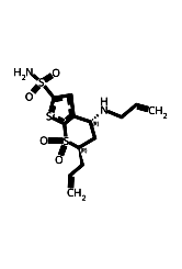 C=CCN[C@@H]1C[C@@H](CC=C)S(=O)(=O)c2sc(S(N)(=O)=O)cc21